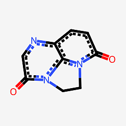 O=c1ccc2ncc(=O)n3c2n1CC3